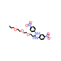 CCCOCCOCCOCCC(Nc1ccc([N+](=O)[O-])cc1)Nc1ccc([N+](=O)[O-])cc1